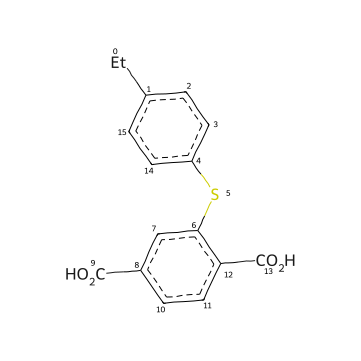 CCc1ccc(Sc2cc(C(=O)O)ccc2C(=O)O)cc1